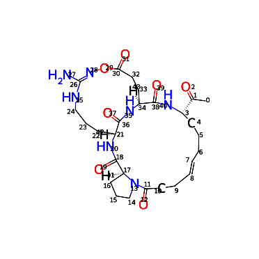 CC(=O)[C@@H]1CCC/C=C/CCC(=O)N2CCC[C@H]2C(=O)N[C@H]2CCCN/C(N)=N\OC(=O)CC[C@H](NC2=O)C(=O)N1